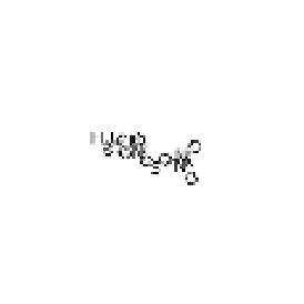 CC1(C)c2ccccc2-c2ccc3c(c21)c1ccccc1n3-c1ccc2sc3cc(-c4nc(-c5ccccc5)nc(-c5ccccc5)n4)ccc3c2c1